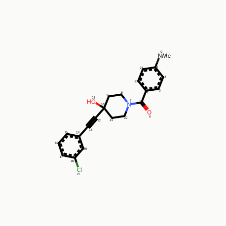 CNc1ccc(C(=O)N2CCC(O)(C#Cc3cccc(Cl)c3)CC2)cc1